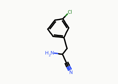 N#CC(N)Cc1cccc(Cl)c1